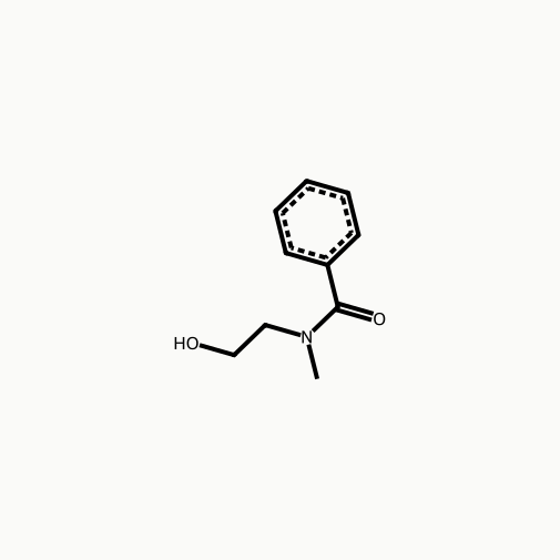 CN(CCO)C(=O)c1ccccc1